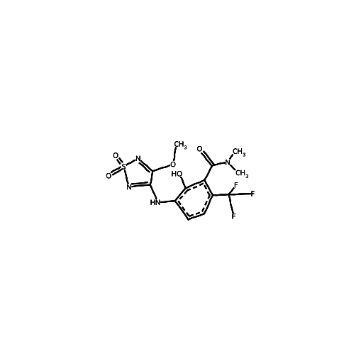 COC1=NS(=O)(=O)N=C1Nc1ccc(C(F)(F)F)c(C(=O)N(C)C)c1O